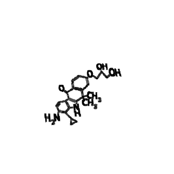 CC1(C)c2cc(OC[C@H](O)CO)ccc2C(=O)c2c1[nH]c1c(C3CC3)c(N)ccc21